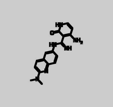 CN(C)c1ccc2cc(NC(=N)c3c(N)cc[nH]c3=O)ccc2n1